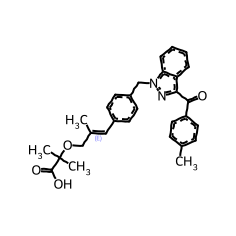 C/C(=C\c1ccc(Cn2nc(C(=O)c3ccc(C)cc3)c3ccccc32)cc1)COC(C)(C)C(=O)O